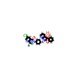 O=C(N[C@H]1CC[C@H](CN2C(=O)C(O)(c3ccccc3F)c3cccnc32)CC1)c1cc(Cl)cnc1C(F)F